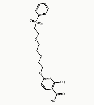 O=C(O)c1ccc(OCCOCCOCCS(=O)(=O)c2ccccc2)cc1O